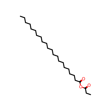 CCCCCCCCCCCCCCCCCCCCCC(=O)OC(=O)CC